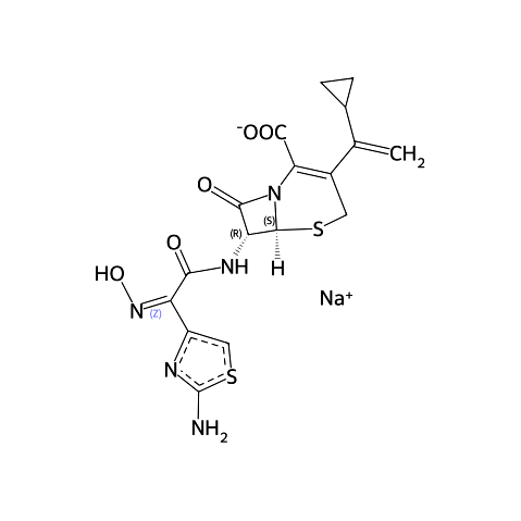 C=C(C1=C(C(=O)[O-])N2C(=O)[C@@H](NC(=O)/C(=N\O)c3csc(N)n3)[C@@H]2SC1)C1CC1.[Na+]